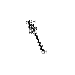 CCCCCCCCCCCCOC(=O)C1=NC(C(=O)O)CN1